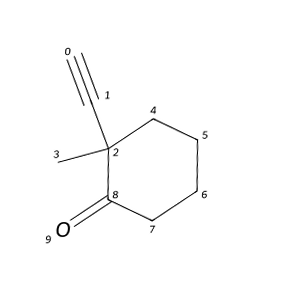 C#CC1(C)CCCCC1=O